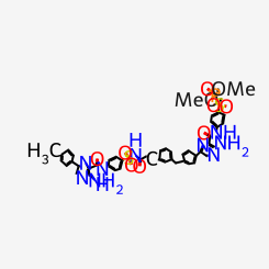 COP(=O)(CS(=O)(=O)c1ccc(NC(=O)c2nc(-c3ccc(Cc4cccc(CCC(=O)NS(=O)(=O)c5ccc(NC(=O)c6nc(-c7ccc(C)cc7)cnc6N)cc5)c4)cc3)cnc2N)cc1)OC